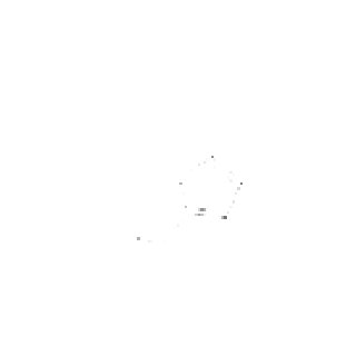 [H-].[H-].[H-].[Zr+3][CH2]C1=CC=CC1